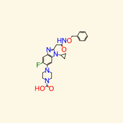 O=C(Cc1nc2cc(F)c(N3CCN(C(=O)O)CC3)cc2n1C1CC1)NOCc1ccccc1